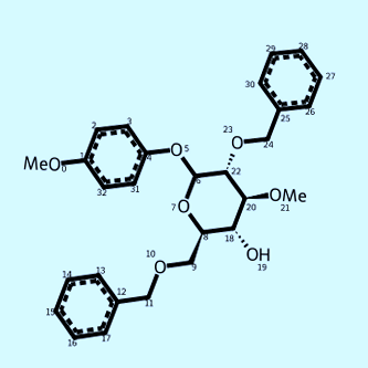 COc1ccc(OC2O[C@H](COCc3ccccc3)[C@@H](O)[C@H](OC)[C@H]2OCc2ccccc2)cc1